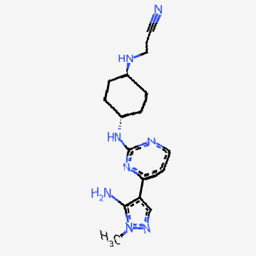 Cn1ncc(-c2ccnc(N[C@H]3CC[C@H](NCC#N)CC3)n2)c1N